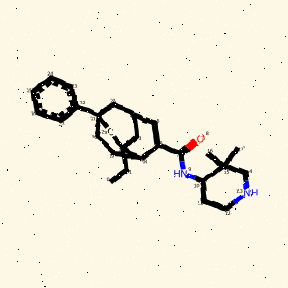 CCC12CC3CC(C(=O)NC4CCNCC4(C)C)C1CCC(c1ccccc1)(C3)C2